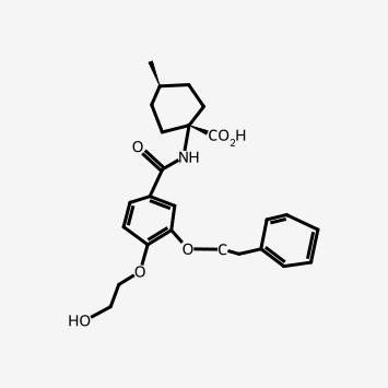 C[C@H]1CC[C@@](NC(=O)c2ccc(OCCO)c(OCCc3ccccc3)c2)(C(=O)O)CC1